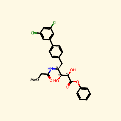 COCC(=O)N[C@@H](Cc1ccc(-c2cc(Cl)cc(Cl)c2)cc1)[C@H](O)[C@@H](O)C(=O)Oc1ccccc1